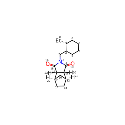 CC[C@@H]1CCCCC1CN1C(=O)[C@@H]2[C@H]3CC[C@H](C3)[C@@H]2C1=O